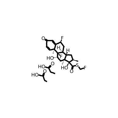 CCC(=O)O.CCC(=O)O.C[C@@H]1C[C@H]2[C@@H]3C[C@H](F)C4=CC(=O)C=C[C@]4(C)[C@@]3(F)[C@@H](O)C[C@]2(C)[C@@]1(O)C(=O)SCF